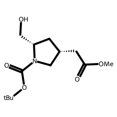 COC(=O)C[C@H]1C[C@@H](CO)N(C(=O)OC(C)(C)C)C1